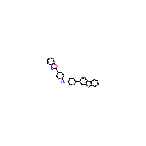 c1ccc2oc(-c3ccc(Nc4ccc(-c5ccc6c(c5)sc5ccccc56)cc4)cc3)nc2c1